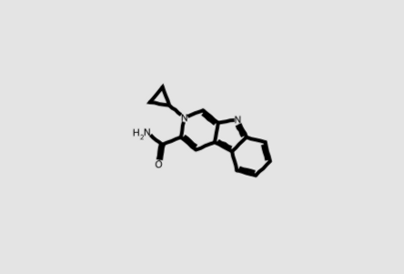 NC(=O)c1cc2c3ccccc3nc-2cn1C1CC1